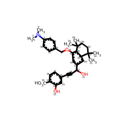 CN(C)c1ccc(COc2cc(C(O)C#Cc3ccc(C(=O)O)c(O)c3)cc3c2C(C)(C)CCC3(C)C)cc1